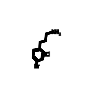 Cl.NCCCc1ccc(Br)cc1